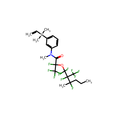 C=C[Si](C)(C)c1cccc(N(C)C(=O)C(F)(OC(F)(F)C(F)(C(F)(F)F)C(C)(F)CCC)C(F)(F)F)c1